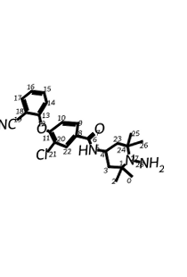 CC1(C)CC(NC(=O)c2ccc(Oc3ccccc3C#N)c(Cl)c2)CC(C)(C)N1N